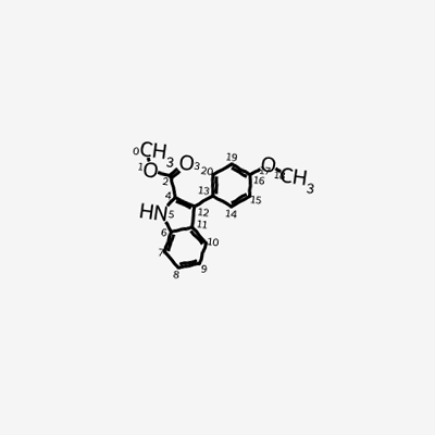 COC(=O)c1[nH]c2ccccc2c1-c1ccc(OC)cc1